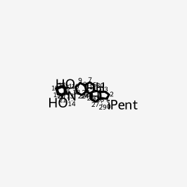 CCCC(C)[C@H]1CC[C@H]2[C@@H]3CCC4C[C@H](O)[C@H](N(C)c5ccccc5O)C[C@]4(C)[C@H]3CC[C@]12C